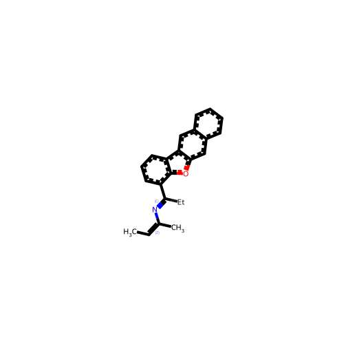 C/C=C(C)\N=C(/CC)c1cccc2c1oc1cc3ccccc3cc12